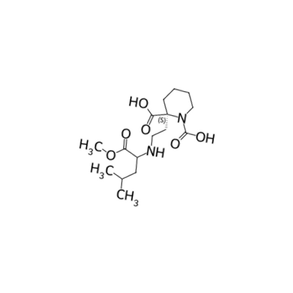 COC(=O)C(CC(C)C)NCC[C@]1(C(=O)O)CCCCN1C(=O)O